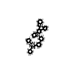 c1ccc(-c2nc(-c3ccccc3)nc(-c3cccc(-c4cccc(-n5c6ccccc6c6cc7c(cc65)c5ccccc5n5c6ccccc6cc75)c4)c3)n2)cc1